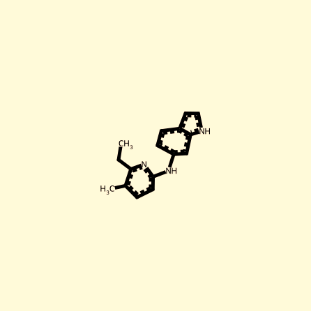 CCc1nc(Nc2ccc3cc[nH]c3c2)ccc1C